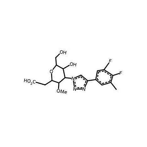 COC1C(CC(=O)O)OC(CO)C(O)C1n1cc(-c2cc(C)c(F)c(F)c2)nn1